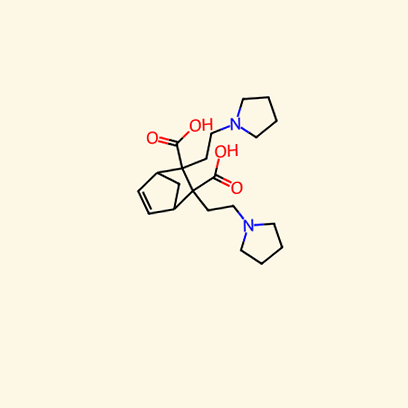 O=C(O)C1(CCN2CCCC2)C2C=CC(C2)C1(CCN1CCCC1)C(=O)O